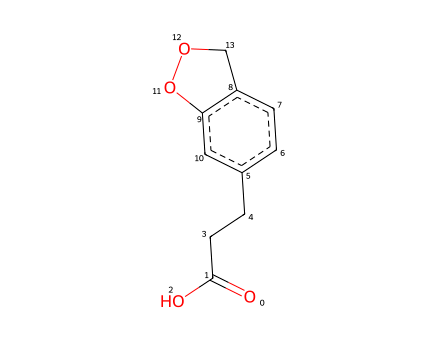 O=C(O)CCc1ccc2c(c1)OOC2